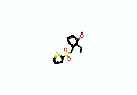 CCc1c(CS(=O)(=O)c2cccs2)cccc1OC